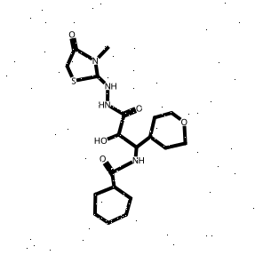 CN1C(=O)CSC1NNC(=O)C(O)C(NC(=O)C1CCCCC1)C1CCOCC1